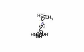 COc1cc(/C=C/C(=O)OCCC(CON(O)O)ON(O)O)ccc1O